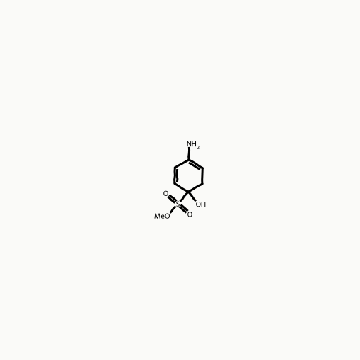 COS(=O)(=O)C1(O)C=CC(N)=CC1